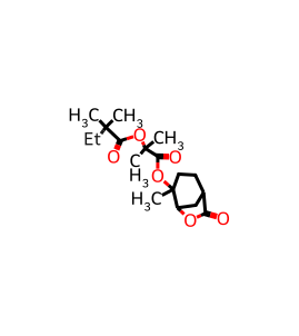 CCC(C)(C)C(=O)OC(C)(C)C(=O)OC1(C)CCC2CC1OC2=O